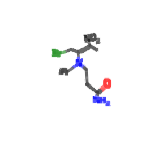 C/C(=C(/CBr)N(CCC(N)=O)C(C)C)[N+](=O)[O-]